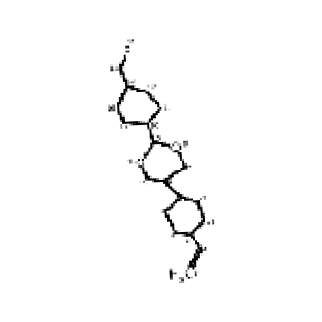 C=CC1CCC(C2COC(C3CCC(CF)CC3)OC2)CC1